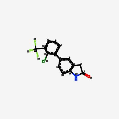 O=C1Cc2cc(-c3cccc(C(F)(F)F)c3Cl)ccc2N1